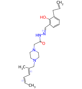 C=CCc1cccc(/C=N/NC(=O)CN2CCN(C/C(C)=C/C=C\C)CC2)c1O